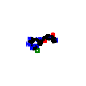 O=C(CC1CCN(C(=O)c2cccnc2)CC1)Nc1ccc2cc1CCc1cncc(c1)Nc1ncc(Cl)c(n1)N2